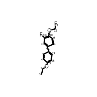 CCOc1ccc(-c2ccc(OCF)c(F)c2)cc1